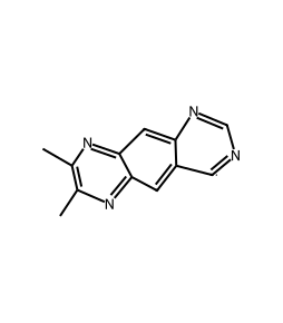 Cc1nc2cc3[c]ncnc3cc2nc1C